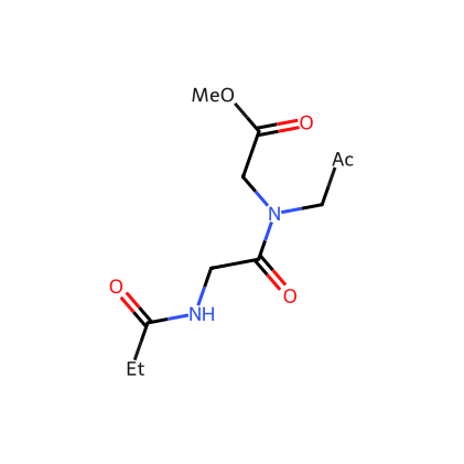 CCC(=O)NCC(=O)N(CC(C)=O)CC(=O)OC